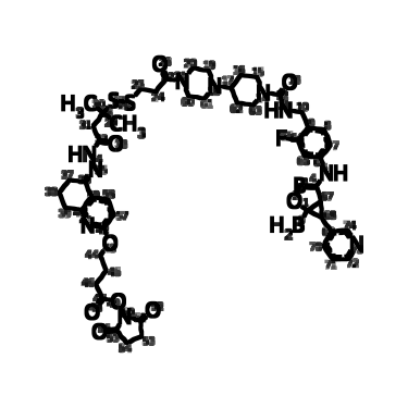 BC12OB=C(Nc3ccc(CNC(=O)N4CCC(N5CCN(C(=O)CCSSC(C)(C)CC(=O)N/N=C6\CCCc7nc(OCCCC(=O)ON8C(=O)CCC8=O)ccc76)CC5)CC4)c(F)c3)C1C2c1cccnc1